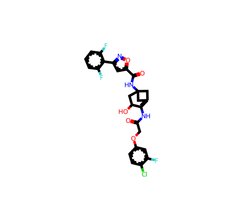 O=C(COc1ccc(Cl)c(F)c1)NC1=C2CC(NC(=O)c3cc(-c4c(F)cccc4F)no3)(C2)CC1O